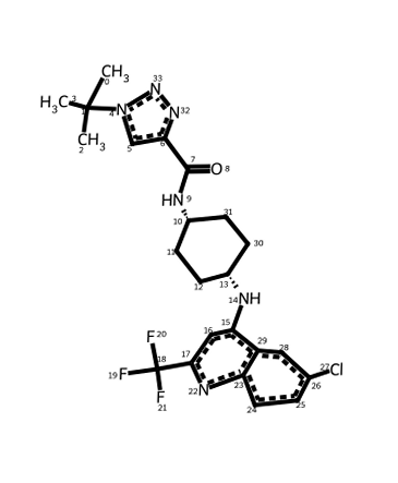 CC(C)(C)n1cc(C(=O)N[C@H]2CC[C@@H](Nc3cc(C(F)(F)F)nc4ccc(Cl)cc34)CC2)nn1